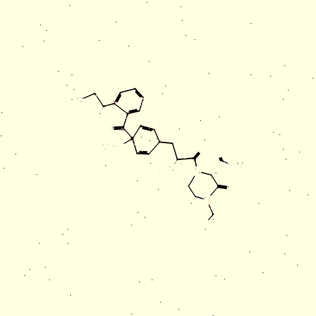 COC(=O)[C@@H]1C(=O)N(CC(=O)O)CCN1C(=O)[C@@H](N)CC1C=CC(OC)(C(=O)c2ccccc2CCN)C=C1